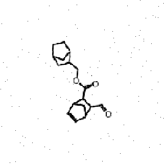 O=CC1C2C=CC(C2)C1C(=O)OCC1CC2CCC1C2